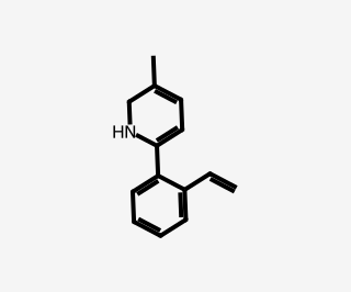 C=Cc1ccccc1C1=CC=C(C)CN1